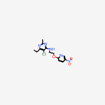 CCc1nc(C)nc(NCCOc2ccc([N+](=O)[O-])cn2)c1Cl